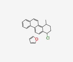 CC1CCC(Cl)c2ccc3c(ccc4ccccc43)c21.c1ccoc1